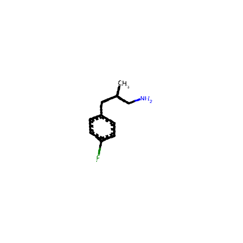 CC(CN)Cc1ccc(F)cc1